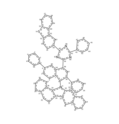 c1ccc(-c2ccc3c(-n4c5cc6ccccc6cc5c5ccc6ccccc6c54)c(-c4ccccc4)cc(-c4nc(-c5ccccc5)nc(-c5ccc6sc7ccccc7c6c5)n4)c3c2)cc1